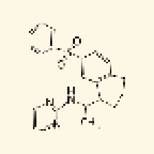 CC(Nc1ncccn1)C1CCCc2ccc(S(=O)(=O)c3ccccc3)cc21